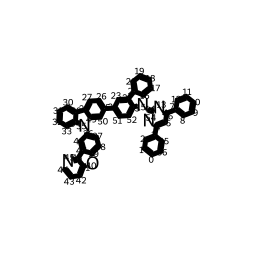 c1ccc(-c2cc(-c3ccccc3)nc(-n3c4ccccc4c4cc(-c5ccc6c7ccccc7n(-c7ccc8oc9cccnc9c8c7)c6c5)ccc43)n2)cc1